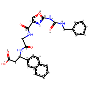 O=C(O)CC(NC(=O)CNC(=O)c1coc(NC(=O)NCc2ccccc2)n1)c1ccc2ccccc2c1